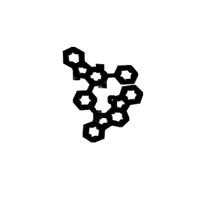 c1ccc(-c2nc(-c3cccc(-n4c5ccccc5c5ccc6c7ccccc7oc6c54)c3)c3sc4ccccc4c3n2)cc1